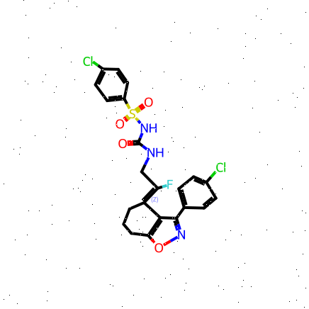 O=C(NC/C(F)=C1\CCCc2onc(-c3ccc(Cl)cc3)c21)NS(=O)(=O)c1ccc(Cl)cc1